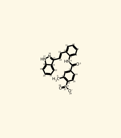 Cc1cc(C(=O)Nc2ccccc2C=Cc2n[nH]c3ccccc23)ccc1[N+](=O)[O-]